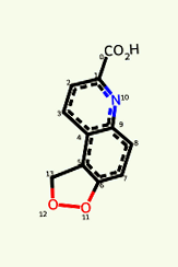 O=C(O)c1ccc2c3c(ccc2n1)OOC3